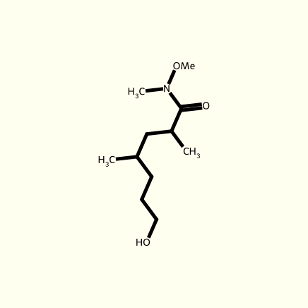 CON(C)C(=O)C(C)CC(C)CCCO